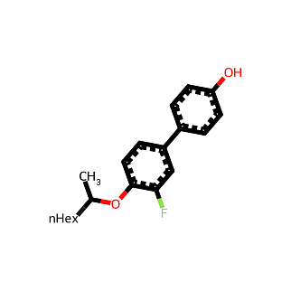 CCCCCCC(C)Oc1ccc(-c2ccc(O)cc2)cc1F